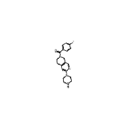 O=C(c1ccc(F)cc1)N1CCc2nc(N3CCNCC3)ncc2C1